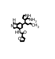 C=C/C=C(/c1cc(NC(=O)c2ccco2)c2cn[nH]c2c1)c1cc[nH]c1N